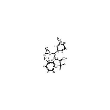 CC1(C)C(=O)N(C(c2cccc(F)c2)[C@H]2CO2)c2c(F)cccc21